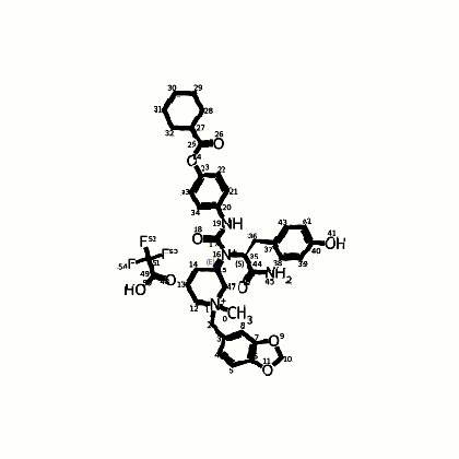 C[N+]1(Cc2ccc3c(c2)OCO3)CCC/C(=[N+](\C(=O)Nc2ccc(OC(=O)C3CCCCC3)cc2)[C@@H](Cc2ccc(O)cc2)C(N)=O)C1.O=C(O)C(F)(F)F